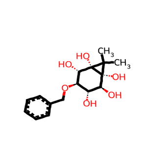 CC1(C)[C@]2(O)[C@@H](O)[C@H](OCc3ccccc3)[C@@H](O)[C@H](O)[C@]12O